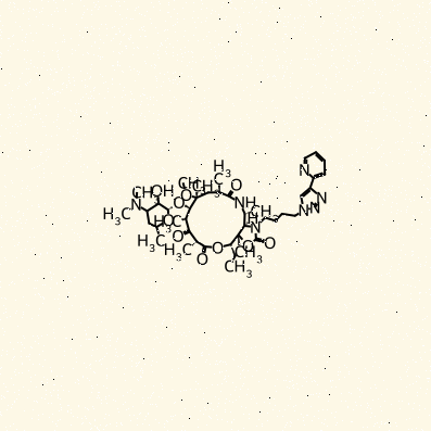 CC[C@H]1OC(=O)[C@H](C)C(=O)[C@@H](C)[C@@H](O[C@@H]2OC(C)CC(N(C)C)C2O)[C@](C)(OC)C[C@@H](C)C(=O)N[C@H](C)[C@H]2N(CCCCn3cc(-c4ccccn4)nn3)C(=O)O[C@]12C